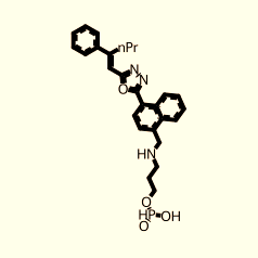 CCC/C(=C\c1nnc(-c2ccc(CNCCCO[PH](=O)O)c3ccccc23)o1)c1ccccc1